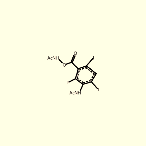 CC(=O)NOC(=O)c1c(I)cc(I)c(NC(C)=O)c1I